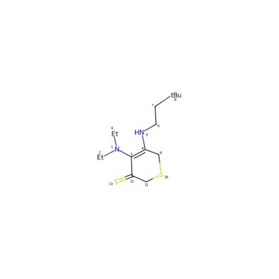 CCN(CC)C1=C(NCCC(C)(C)C)CSCC1=S